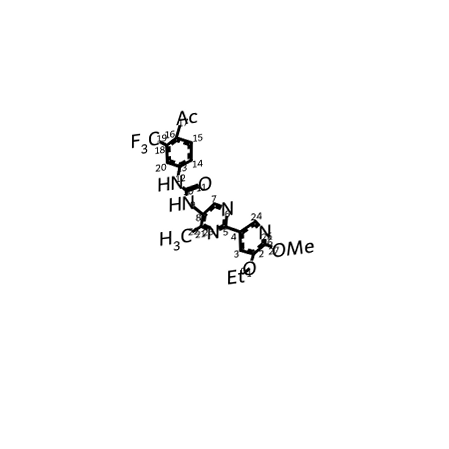 CCOc1cc(-c2ncc(NC(=O)Nc3ccc(C(C)=O)c(C(F)(F)F)c3)c(C)n2)cnc1OC